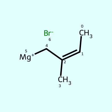 CC=C(C)[CH2][Mg+].[Br-]